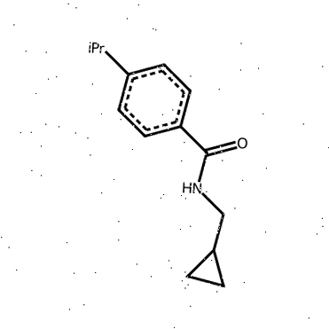 CC(C)c1ccc(C(=O)NCC2CC2)cc1